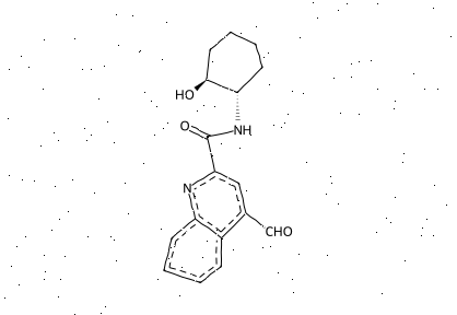 O=Cc1cc(C(=O)N[C@H]2CCCC[C@@H]2O)nc2ccccc12